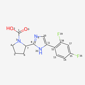 O=C(O)N1CCCC1c1ncc(-c2ccc(F)cc2F)[nH]1